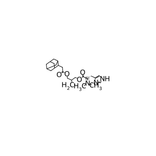 [CH2]C(COC(=O)CC1C2CC3CC(C2)CC1C3)COC(=O)[C@H](Cc1c[nH]cn1)N(C)C